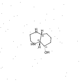 O[C@H]1CCC[C@H]2NCCN[C@@H]12